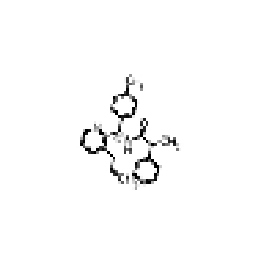 C=CCc1cccnc1[C@@H](NC(=O)C(C)c1ccccc1)c1ccc(C(F)(F)F)cc1